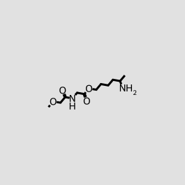 COCC(=O)NCC(=O)OCCCCC(C)N